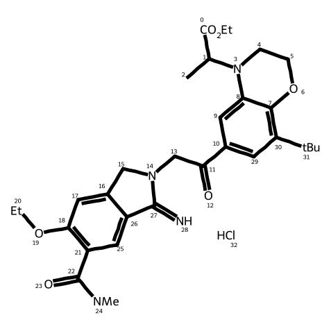 CCOC(=O)C(C)N1CCOc2c1cc(C(=O)CN1Cc3cc(OCC)c(C(=O)NC)cc3C1=N)cc2C(C)(C)C.Cl